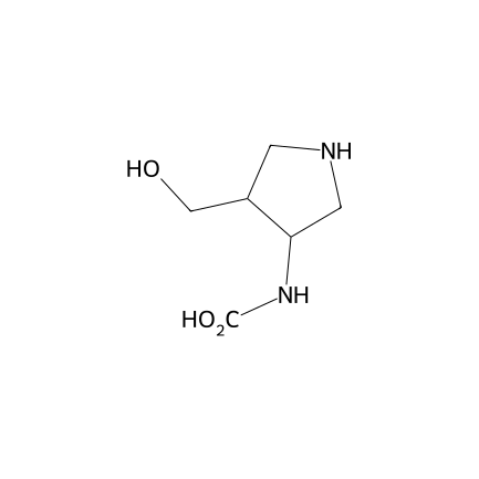 O=C(O)NC1CNCC1CO